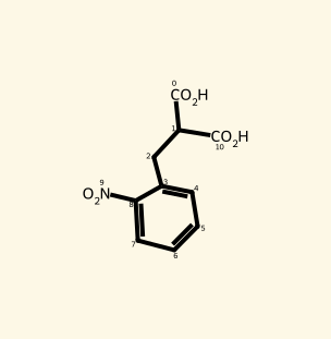 O=C(O)C(Cc1ccccc1[N+](=O)[O-])C(=O)O